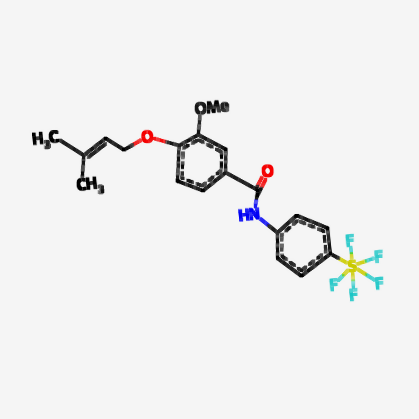 COc1cc(C(=O)Nc2ccc(S(F)(F)(F)(F)F)cc2)ccc1OCC=C(C)C